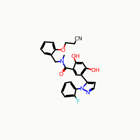 CN(Cc1ccccc1OCCC#N)C(=O)c1cc(-c2ccnn2-c2ccccc2F)c(O)cc1O